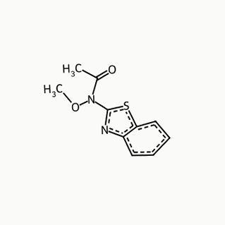 CON(C(C)=O)c1nc2ccccc2s1